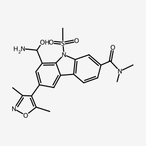 Cc1noc(C)c1-c1cc(C(N)O)c2c(c1)c1ccc(C(=O)N(C)C)cc1n2S(C)(=O)=O